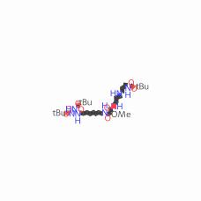 COC(C(=O)NCCCCCCCCN/C(=N/C(=O)OC(C)(C)C)NC(=O)OC(C)(C)C)C(=O)NCCCCNCCC(C)NC(=O)OC(C)(C)C